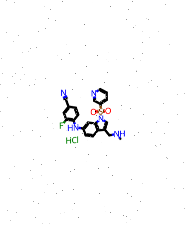 CNCc1cn(S(=O)(=O)c2cccnc2)c2cc(Nc3ccc(C#N)cc3F)ccc12.Cl